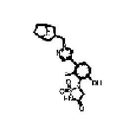 O=C1CN(c2c(O)ccc(-c3cnn(CC4CC5CCC(C4)O5)c3)c2F)S(=O)(=O)N1